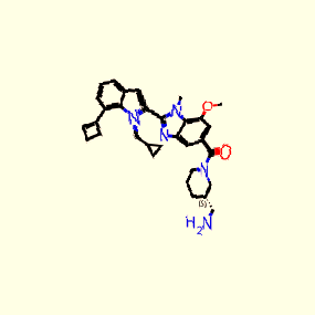 COc1cc(C(=O)N2CCC[C@@H](CN)C2)cc2nc(-c3cc4cccc(C5=CCC5)c4n3CC3CC3)n(C)c12